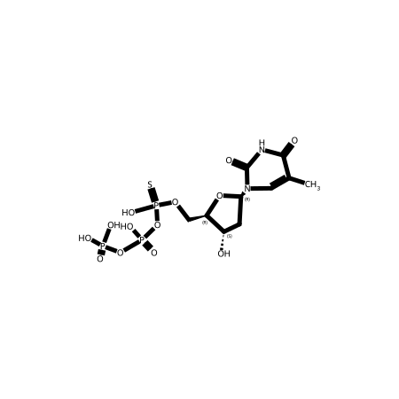 Cc1cn([C@H]2C[C@H](O)[C@@H](COP(O)(=S)OP(=O)(O)OP(=O)(O)O)O2)c(=O)[nH]c1=O